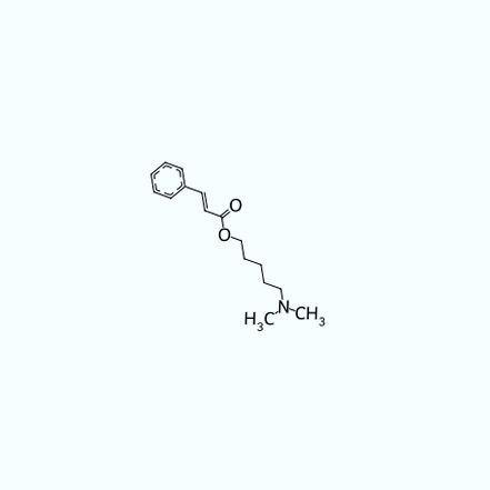 CN(C)CCCCCOC(=O)/C=C/c1ccccc1